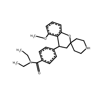 CCN(CC)C(=O)c1ccc(C2CC3(CCNCC3)Oc3cccc(OC)c32)cc1